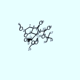 C#C[C@]12O[C@H](OC)CC1C(=O)N(C(=O)OC(C)(C)C)[C@@]2(C=O)C(=O)OC